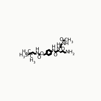 CC(=O)NCC(=O)N[C@@H](CCCN)C(=O)Nc1ccc(COC(=O)NCCC(C)(C)[SiH3])cc1